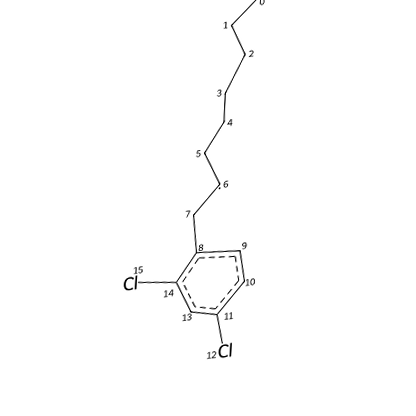 CCCCCC[CH]Cc1ccc(Cl)cc1Cl